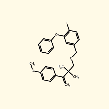 C=C(c1ccc(OC)cc1)C(C)(C)COCc1ccc(F)c(Oc2ccccc2)c1